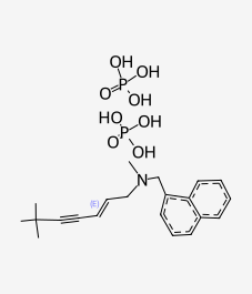 CN(C/C=C/C#CC(C)(C)C)Cc1cccc2ccccc12.O=P(O)(O)O.O=P(O)(O)O